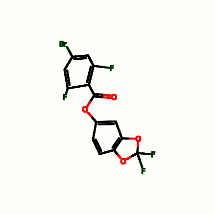 O=C(Oc1ccc2c(c1)OC(F)(F)O2)c1c(F)cc(Br)cc1F